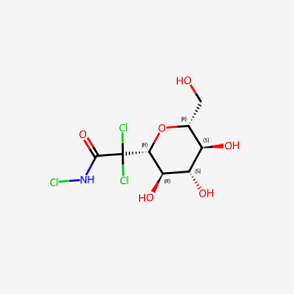 O=C(NCl)C(Cl)(Cl)[C@@H]1O[C@H](CO)[C@@H](O)[C@H](O)[C@H]1O